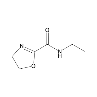 CCNC(=O)C1=NCCO1